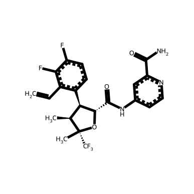 C=Cc1c([C@H]2[C@H](C(=O)Nc3ccnc(C(N)=O)c3)O[C@](C)(C(F)(F)F)[C@H]2C)ccc(F)c1F